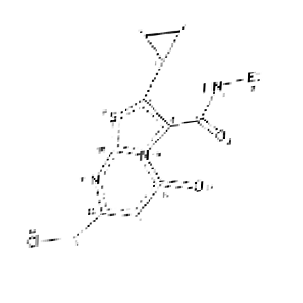 CCNC(=O)c1c(C2CC2)sc2nc(CCl)cc(=O)n12